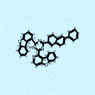 c1ccc(-c2ccc3cc(C4=NC(c5cccc6oc7ccccc7c56)NC(c5nccc6oc7ccccc7c56)=N4)ccc3c2)cc1